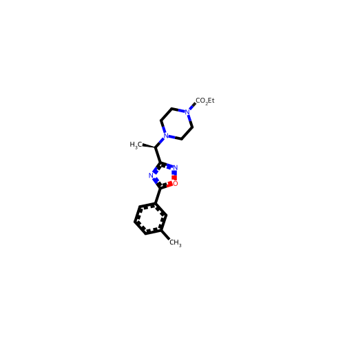 CCOC(=O)N1CCN([C@H](C)c2noc(-c3cccc(C)c3)n2)CC1